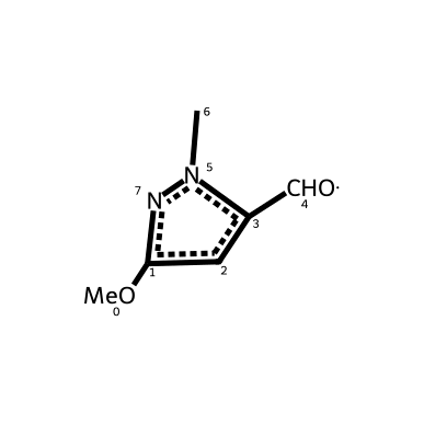 COc1cc([C]=O)n(C)n1